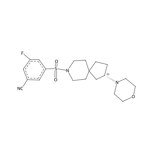 N#Cc1cc(F)cc(S(=O)(=O)N2CCC3(CC[C@H](N4CCOCC4)C3)CC2)c1